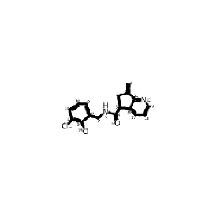 C=C1CC(C(=O)NCc2cccc(Cl)c2Cl)c2cccnc21